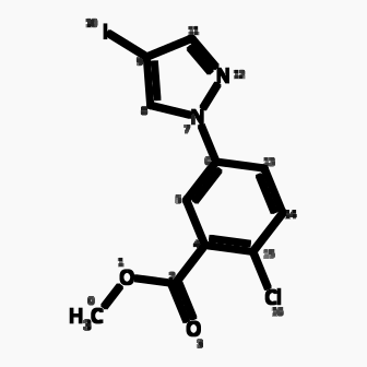 COC(=O)c1cc(-n2cc(I)cn2)ccc1Cl